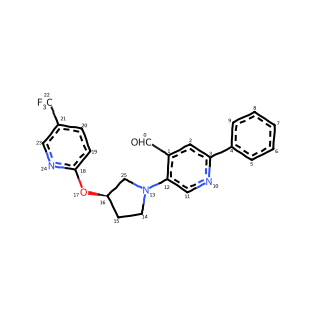 O=Cc1cc(-c2ccccc2)ncc1N1CC[C@@H](Oc2ccc(C(F)(F)F)cn2)C1